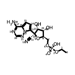 CCOP(=O)(O)OC[C@H]1O[C@@](C#N)(c2ccc3c(N)ncnn23)[C@H](O)[C@@H]1O